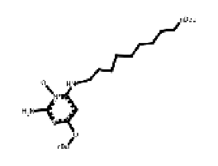 CCCCCCCCCCCCCCCCCCCNc1cc(OCCCC)nc(N)[n+]1[O-]